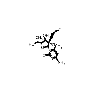 Cc1cc(N)nc(=O)n1[C@@H]1O[C@H]([C@@H](C)O)C(O)[C@]1(Cl)C#CCF